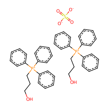 O=S(=O)([O-])[O-].OCCC[P+](c1ccccc1)(c1ccccc1)c1ccccc1.OCCC[P+](c1ccccc1)(c1ccccc1)c1ccccc1